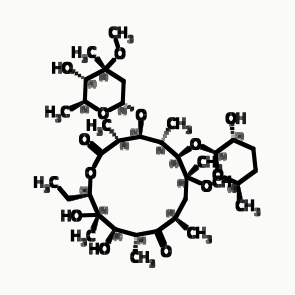 CC[C@H]1OC(=O)[C@H](C)[C@@H](O[C@H]2C[C@@](C)(OC)[C@@H](O)[C@H](C)O2)[C@H](C)[C@@H](O[C@@H]2O[C@H](C)CC[C@H]2O)[C@](C)(OC)C[C@@H](C)C(=O)[C@H](C)[C@@H](O)[C@]1(C)O